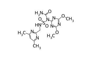 COc1nc(OC)nc(N(C(N)=O)S(=O)(=O)NCc2nc(C)cc(C)n2)n1